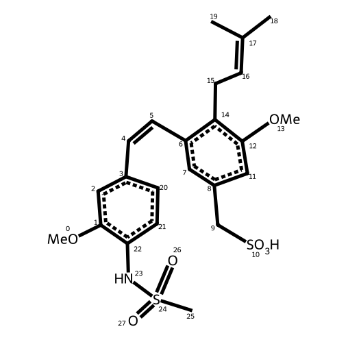 COc1cc(/C=C\c2cc(CS(=O)(=O)O)cc(OC)c2CC=C(C)C)ccc1NS(C)(=O)=O